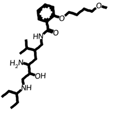 CCC(CC)NCC(O)C(N)CC(CNC(=O)c1ccccc1OCCCCOC)C(C)C